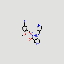 COc1ccc(C#N)cc1CONC(=O)c1cnccc1NCc1ccncc1